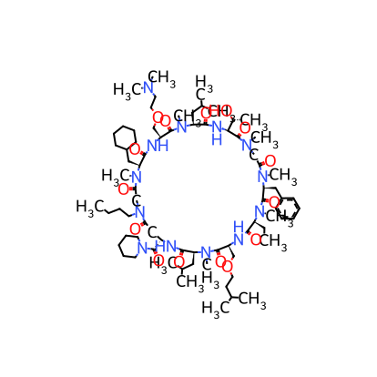 CCCCN1CC(=O)N(C)[C@@H](CC2CCCCC2)C(=O)N[C@@H](COCCN(C)C)C(=O)N(C)[C@@H](CC(C)C)C(=O)N[C@@H]([C@@H](C)O)C(=O)N(C)CC(=O)N(C)[C@@H](Cc2ccccc2)C(=O)N(C)[C@@H](CC)C(=O)N[C@@H](COCCC(C)C)C(=O)N(C)[C@@H](CC(C)C)C(=O)N[C@H](C(=O)N2CCCCC2)CC1=O